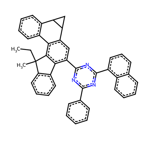 CCC1(C)c2ccccc2-c2c(-c3nc(-c4ccccc4)nc(-c4cccc5ccccc45)n3)cc3c(c21)-c1ccccc1C1CC31